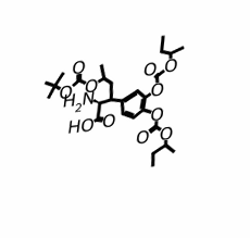 CCC(C)OC(=O)Oc1ccc(C(CC(C)OC(=O)OC(C)(C)C)[C@H](N)C(=O)O)cc1OC(=O)OC(C)CC